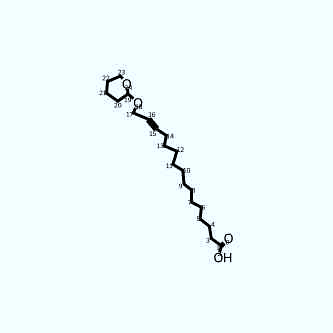 O=C(O)CCCCCCCCCCCCC#CCOC1CCCCO1